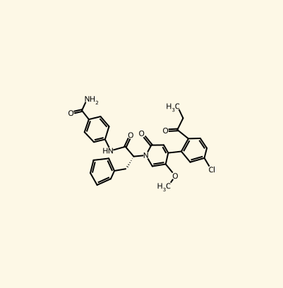 CCC(=O)c1ccc(Cl)cc1-c1cc(=O)n([C@H](Cc2ccccc2)C(=O)Nc2ccc(C(N)=O)cc2)cc1OC